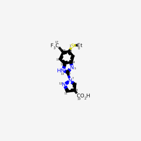 CCSc1cc2nc(-n3cc(C(=O)O)cn3)[nH]c2cc1C(F)(F)F